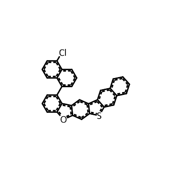 Clc1cccc2c(-c3cccc4oc5cc6sc7cc8ccccc8cc7c6cc5c34)cccc12